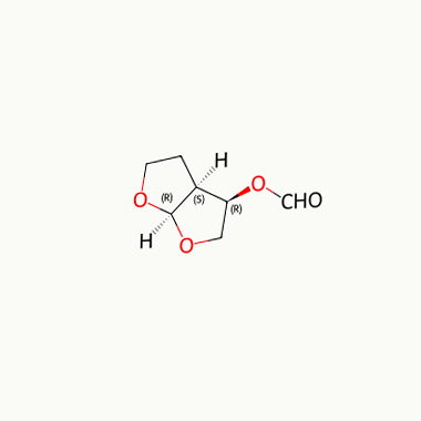 O=CO[C@H]1CO[C@H]2OCC[C@H]21